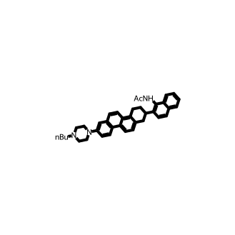 CCCCN1CCN(c2ccc3c(ccc4c5c(ccc43)CC(c3ccc4ccccc4c3NC(C)=O)CC5)c2)CC1